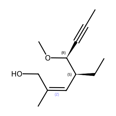 CC#C[C@H](OC)[C@H](/C=C(/C)CO)CC